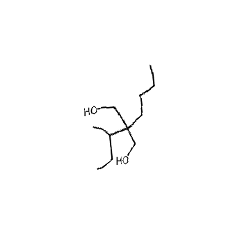 CCCCC(CO)(CO)C(C)CC